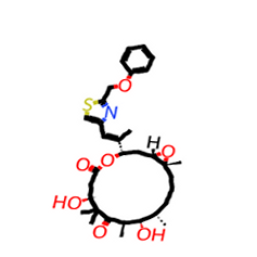 CC(=Cc1csc(COc2ccccc2)n1)[C@@H]1C[C@@H]2O[C@]2(C)CCC[C@H](C)[C@H](O)[C@@H](C)C(=O)C(C)(C)[C@@H](O)CC(=O)O1